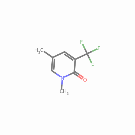 Cc1cc(C(F)(F)F)c(=O)n(C)c1